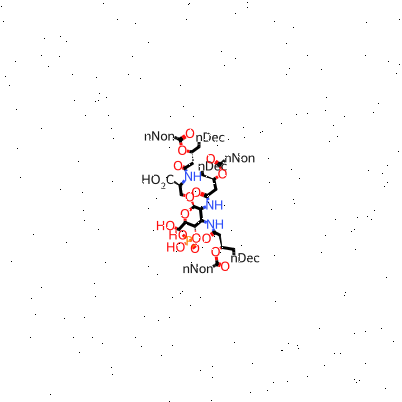 CCCCCCCCCCC[C@H](CC(=O)NC1C(NC(=O)C[C@@H](CCCCCCCCCCC)OC(=O)CCCCCCCCC)[C@H](OP(=O)(O)O)C(CO)O[C@H]1OC[C@H](NC(=O)C[C@@H](CCCCCCCCCCC)OC(=O)CCCCCCCCC)C(=O)O)OC(=O)CCCCCCCCC